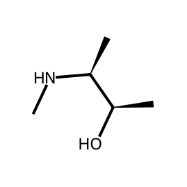 CN[C@@H](C)[C@@H](C)O